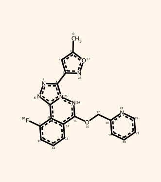 Cc1cc(-c2nnc3c4c(F)cccc4c(OCc4ccccn4)nn23)no1